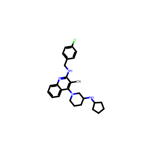 N#Cc1c(NCc2ccc(Cl)cc2)nc2ccccc2c1N1CCCC(NC2CCCC2)C1